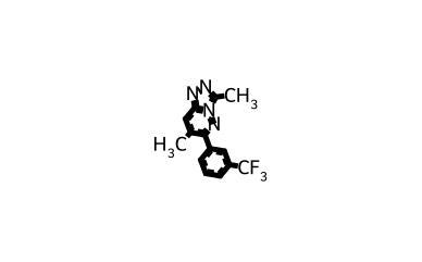 Cc1cc2nnc(C)n2nc1-c1cccc(C(F)(F)F)c1